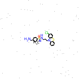 CN=S(=O)(NCCCN1c2ccccc2Sc2ccc(Cl)cc21)c1ccc(CN)cc1